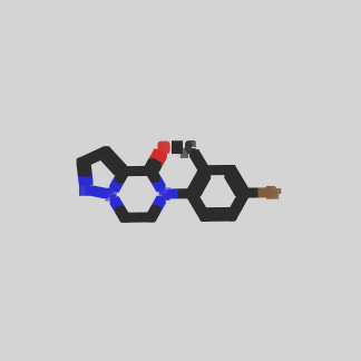 Cc1cc(Br)ccc1N1CCn2nccc2C1=O